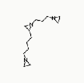 C(CCN1CC1)CC1CN1CCCN1CC1